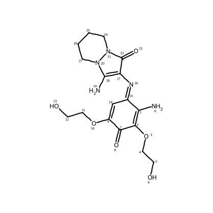 NC1=C(OCCO)C(=O)C(OCCO)=CC1=Nc1c(N)n2n(c1=O)CCCC2